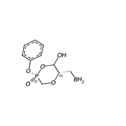 BC[C@@H]1OC[P@](=O)(Oc2ccccc2)OC1O